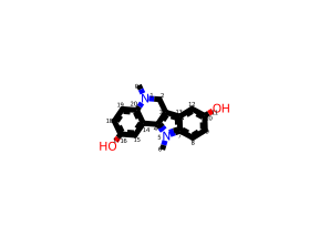 CN1Cc2c(n(C)c3ccc(O)cc23)-c2cc(O)ccc21